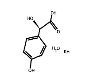 O.O=C(O)[C@H](O)c1ccc(O)cc1.[KH]